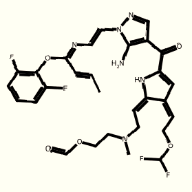 C/C=C/C(=N\C=C\n1ncc(C(=O)c2cc(=C/COC(F)F)/c(=C\CN(C)CCOC=O)[nH]2)c1N)Oc1c(F)cccc1F